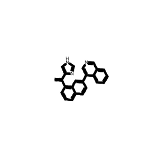 C=C(c1c[nH]cn1)c1cccc2ccc(-c3cncc4ccccc34)cc12